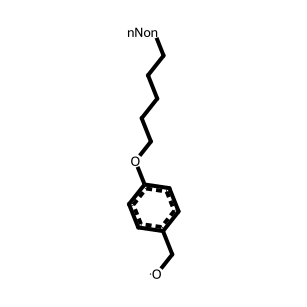 CCCCCCCCCCCCCCOc1ccc(C[O])cc1